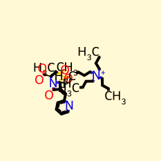 CC1(C)[C@H](C(=O)[O-])N2C(=O)/C(=C\c3ccccn3)[C@H]2S1(=O)=O.CCCC[N+](CCCC)(CCCC)CCCC